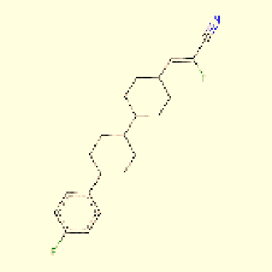 N#CC(F)=CC1CCC(C2CCC(c3ccc(F)cc3)CC2)CC1